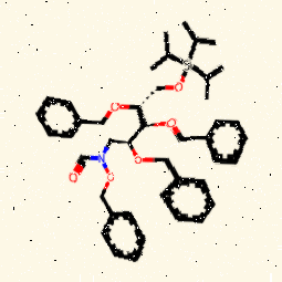 CC(C)[Si](OC[C@@H](OCc1ccccc1)[C@@H](OCc1ccccc1)[C@H](CN(C=O)OCc1ccccc1)OCc1ccccc1)(C(C)C)C(C)C